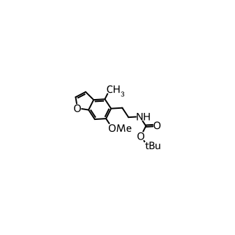 COc1cc2occc2c(C)c1CCNC(=O)OC(C)(C)C